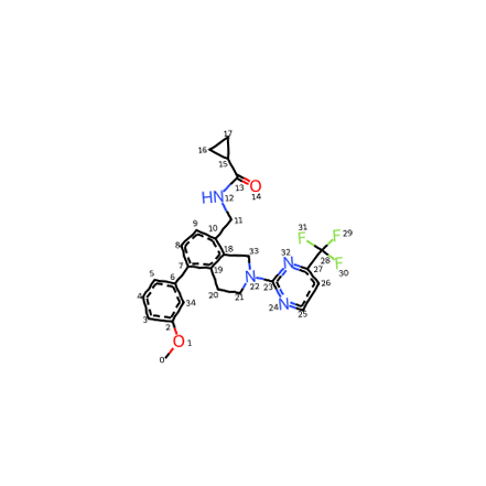 COc1cccc(-c2ccc(CNC(=O)C3CC3)c3c2CCN(c2nccc(C(F)(F)F)n2)C3)c1